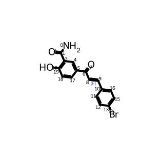 NC(=O)c1cc(C(=O)/C=C/c2ccc(Br)cc2)ccc1O